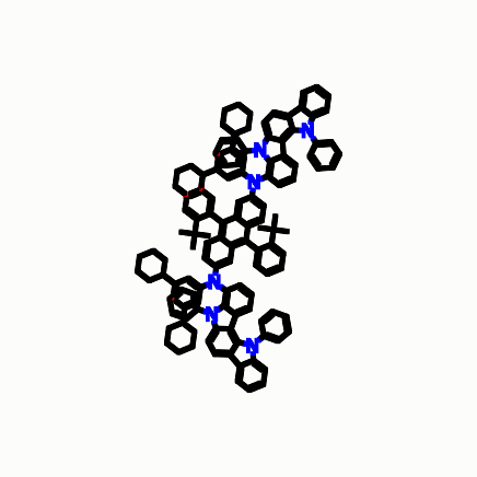 CC(C)(C)c1ccccc1-c1c2ccc(N(c3cc(C4CCCCC4)cc(C4CCCCC4)c3)c3cccc4c5c(ccc6c7ccccc7n(-c7ccccc7)c65)n(-c5ccccc5)c34)cc2c(-c2ccccc2C(C)(C)C)c2ccc(N(c3cc(C4CCCCC4)cc(C4CCCCC4)c3)c3cccc4c5c(ccc6c7ccccc7n(-c7ccccc7)c65)n(-c5ccccc5)c34)cc12